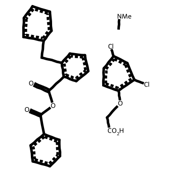 CNC.O=C(O)COc1ccc(Cl)cc1Cl.O=C(OC(=O)c1ccccc1Cc1ccccc1)c1ccccc1